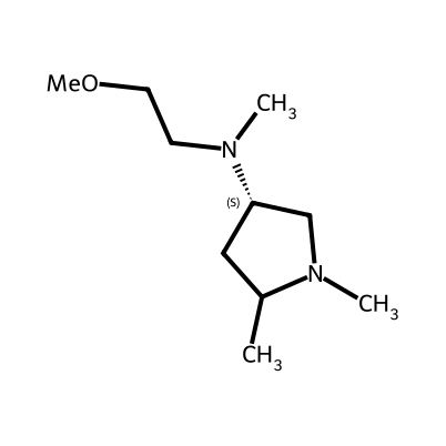 COCCN(C)[C@H]1CC(C)N(C)C1